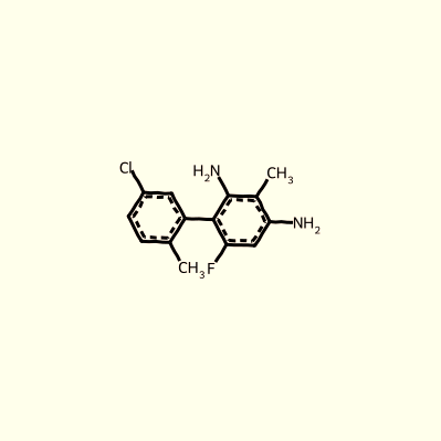 Cc1ccc(Cl)cc1-c1c(F)cc(N)c(C)c1N